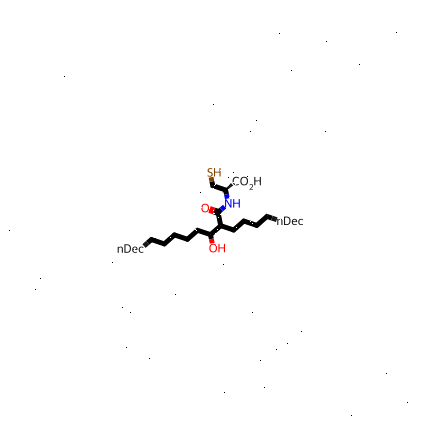 CCCCCCCCCCCCCCCC(O)C(CCCCCCCCCCCCCC)C(=O)N[C@@H](CS)C(=O)O